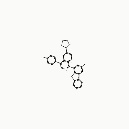 Cc1ccc(-c2cnc(-c3cc(C)cc4c3Cc3ccccc3-4)c3ccc(C4CCCC4)cc23)cc1